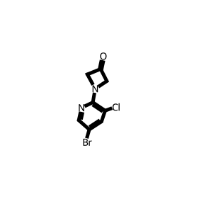 O=C1CN(c2ncc(Br)cc2Cl)C1